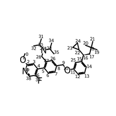 COc1cc(-c2ccc(COc3cccc([C@H](CC(C)(C)C)C4CC4)c3)cc2CN(C(C)C)C(C)C)c(F)cn1